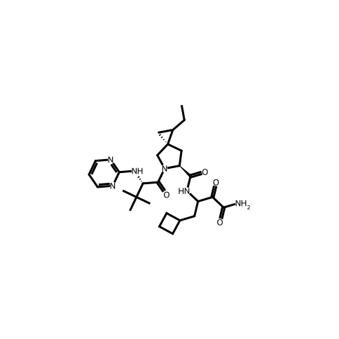 CCC1C[C@@]12C[C@@H](C(=O)NC(CC1CCC1)C(=O)C(N)=O)N(C(=O)[C@@H](Nc1ncccn1)C(C)(C)C)C2